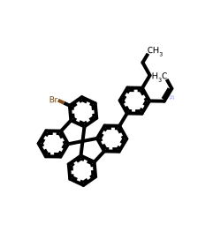 C/C=C\c1cc(-c2ccc3c(c2)C2(c4ccccc4-3)c3ccccc3-c3c(Br)cccc32)ccc1CCC